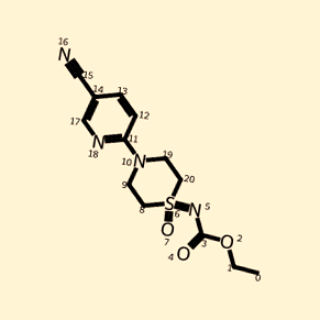 CCOC(=O)N=S1(=O)CCN(c2ccc(C#N)cn2)CC1